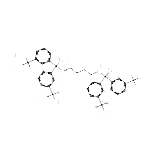 CC(C)(C)c1cccc(C(N)(BCCCCBC(N)(c2cccc(C(C)(C)C)c2)c2cccc(C(C)(C)C)c2)c2cccc(C(C)(C)C)c2)c1